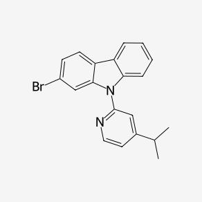 CC(C)c1ccnc(-n2c3ccccc3c3ccc(Br)cc32)c1